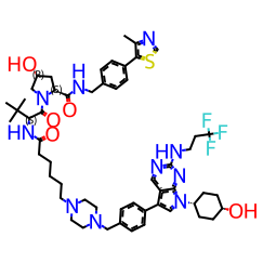 Cc1ncsc1-c1ccc(CNC(=O)[C@@H]2C[C@@H](O)CN2C(=O)[C@@H](NC(=O)CCCCCN2CCN(Cc3ccc(-c4cn([C@H]5CC[C@H](O)CC5)c5nc(NCCC(F)(F)F)ncc45)cc3)CC2)C(C)(C)C)cc1